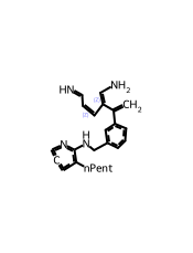 C=C(C(/C=C\C=N)=C\N)c1cccc(CNc2ncccc2CCCCC)c1